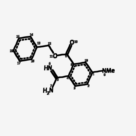 CNc1ccc(C(=N)N)c(C(=O)OCc2ccccc2)c1